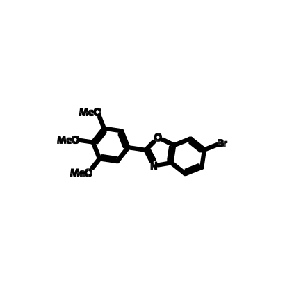 COc1cc(-c2nc3ccc(Br)cc3o2)cc(OC)c1OC